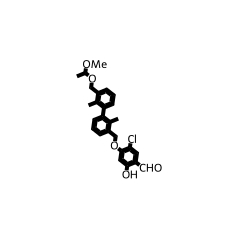 COC(C)OCc1cccc(-c2cccc(COc3cc(O)c(C=O)cc3Cl)c2C)c1C